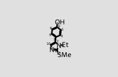 CCn1c(-c2ccc(O)cc2)cnc1SC